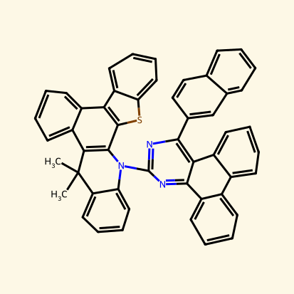 CC1(C)c2ccccc2N(c2nc(-c3ccc4ccccc4c3)c3c4ccccc4c4ccccc4c3n2)c2c1c1ccccc1c1c2sc2ccccc21